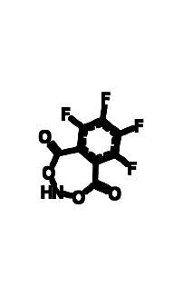 O=C1ONOC(=O)c2c(F)c(F)c(F)c(F)c21